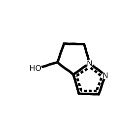 OC1CCn2nccc21